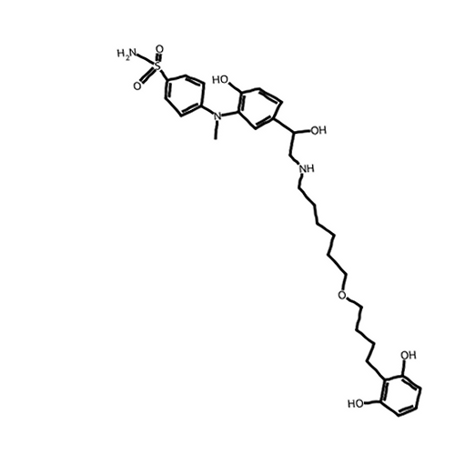 CN(c1ccc(S(N)(=O)=O)cc1)c1cc(C(O)CNCCCCCCOCCCCc2c(O)cccc2O)ccc1O